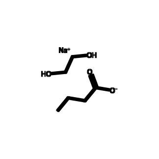 CCCC(=O)[O-].OCCO.[Na+]